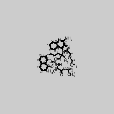 CCCCC(C)(CO[P@@](=O)(N[C@@H](C)C(=O)OC(C)C)Oc1cccc2ccccc12)n1c(COCC)nc2c(N)nc3ccccc3c21